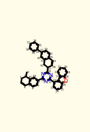 CC1CC=Cc2ccc(-c3nc(-c4cccc5oc6ccccc6c45)nc(C4C=Cc5ccc(-c6ccccc6)cc5C4)n3)cc21